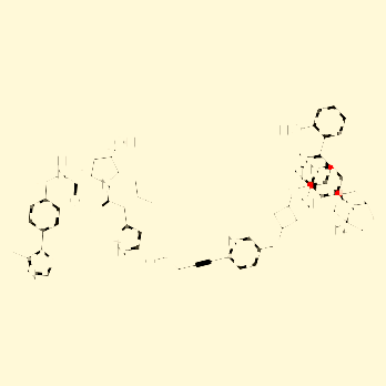 Cc1ncsc1-c1ccc([C@H](C)NC(=O)[C@@H]2C[C@@H](O)CN2C(=O)[C@@H](c2cc(OCCC#Cc3ccc(OC4CC(Oc5cc(N6C7CC[C@@H]6CN(c6cc(-c8ccccc8O)nnc6N)C7)ccn5)C4)cn3)no2)C(C)C)cc1